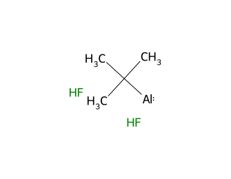 C[C](C)(C)[Al].F.F